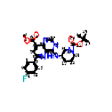 COC(=O)c1cc(-c2ccc(F)cc2)nc2c(N[C@H]3CCCN(C(=O)OC(C)(C)C)C3)ncnc12